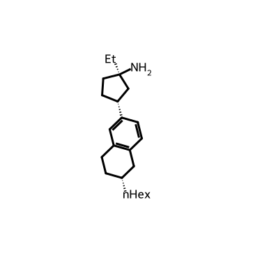 CCCCCC[C@@H]1CCc2cc([C@@H]3CC[C@](N)(CC)C3)ccc2C1